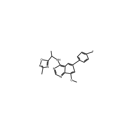 COc1cc(-c2ccc(F)cc2)cc2c(NC(C)c3nc(C)no3)ncnc12